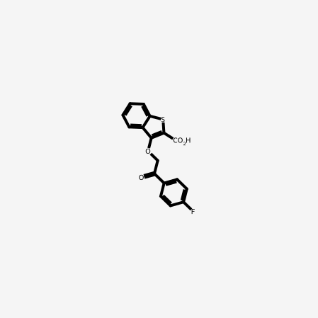 O=C(COc1c(C(=O)O)sc2ccccc12)c1ccc(F)cc1